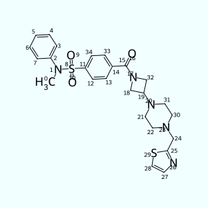 CN(c1ccccc1)S(=O)(=O)c1ccc(C(=O)N2CC(N3CCN(Cc4nccs4)CC3)C2)cc1